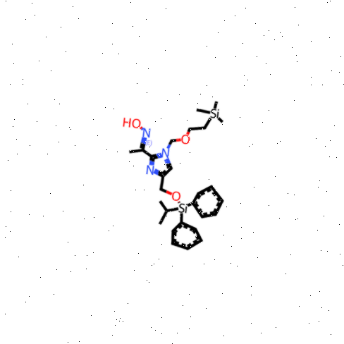 C/C(=N\O)c1nc(CO[Si](c2ccccc2)(c2ccccc2)C(C)C)cn1COCC[Si](C)(C)C